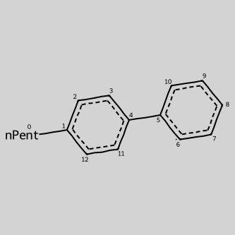 CCCCCc1ccc(-c2[c]cccc2)cc1